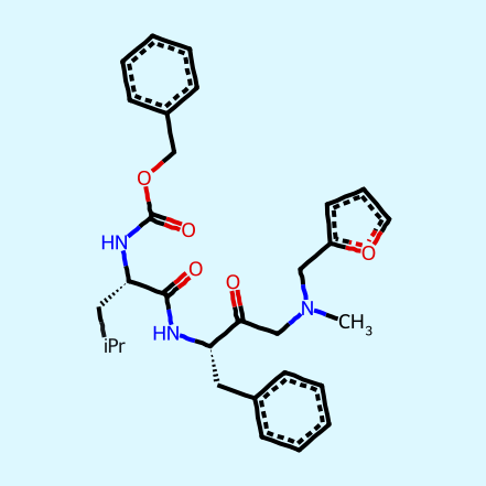 CC(C)C[C@H](NC(=O)OCc1ccccc1)C(=O)N[C@@H](Cc1ccccc1)C(=O)CN(C)Cc1ccco1